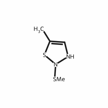 [CH2]SN1NC=C(C)S1